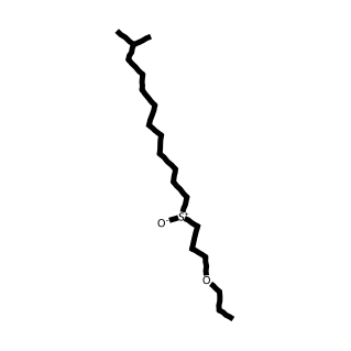 CCCOCCC[S+]([O-])CCCCCCCCCCC(C)C